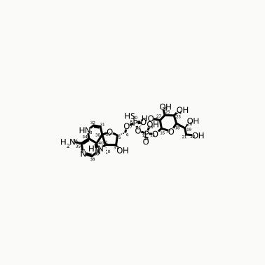 C[C@@]1(N)[C@H](O)[C@@H](COP(=O)(S)OP(=O)(O)OC2OC([C@@H](O)CO)C(O)C(O)C2O)OC12C=CNc1c(N)ncnc12